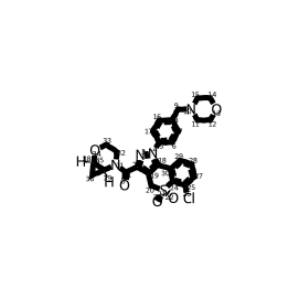 O=C(c1nn(-c2ccc(CN3CCOCC3)cc2)c2c1CS(=O)(=O)c1c(Cl)cccc1-2)N1CCO[C@@H]2C[C@@H]21